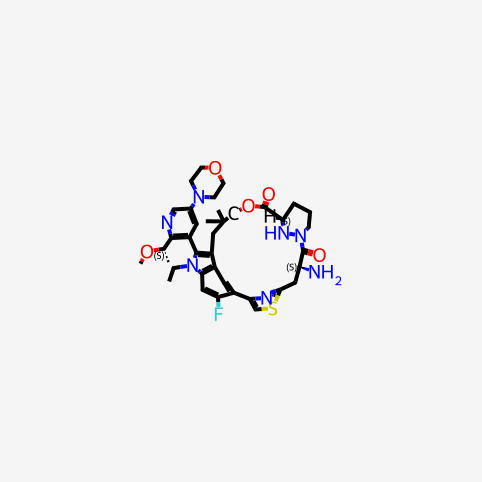 CCn1c(-c2cc(N3CCOCC3)cnc2[C@H](C)OC)c2c3cc(c(F)cc31)-c1csc(n1)C[C@H](N)C(=O)N1CCC[C@H](N1)C(=O)OCC(C)(C)C2